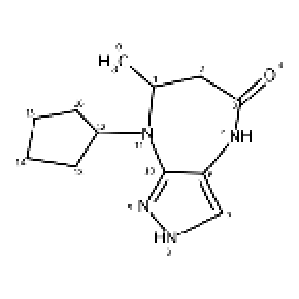 CC1CC(=O)Nc2c[nH]nc2N1C1CCCC1